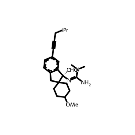 COC1CCC2(CC1)Cc1ccc(C#CCC(C)C)cc1[C@@]2(C=O)/N=C(/N)N(C)C